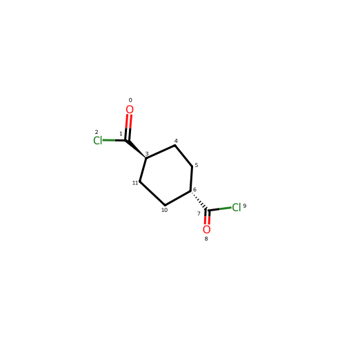 O=C(Cl)[C@H]1CC[C@H](C(=O)Cl)CC1